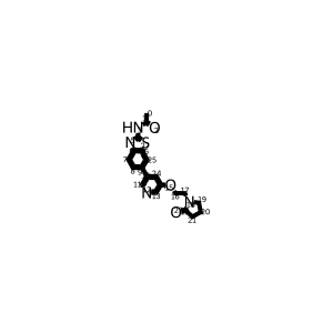 CC(=O)Nc1nc2ccc(-c3cncc(OCCN4CCCC4=O)c3)cc2s1